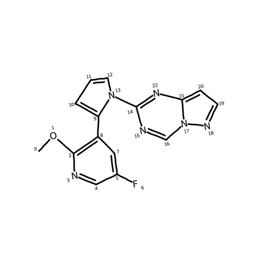 COc1ncc(F)cc1-c1cccn1-c1ncn2nccc2n1